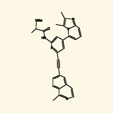 CNC(C)C(=O)Nc1cc(-c2cccc3nc(C)c(C)n23)cc(C#Cc2ccc3c(C)nccc3c2)n1